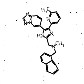 Cc1cccc(-c2nc(CN(C)Cc3cccc4ccccc34)[nH]c2-c2ccc3ncnn3c2)n1